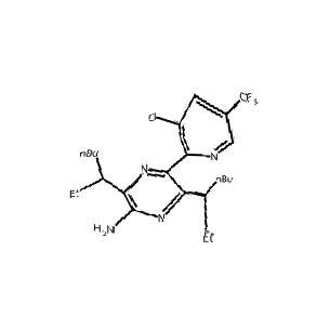 CCCCC(CC)c1nc(-c2ncc(C(F)(F)F)cc2Cl)c(C(CC)CCCC)nc1N